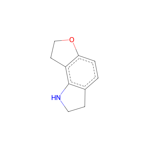 c1cc2c(c3c1CCN3)CCO2